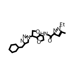 CCn1nc(C(=O)NC2COC3C2OCC3N2CC(CC3CCCCC3)N=N2)cc1C